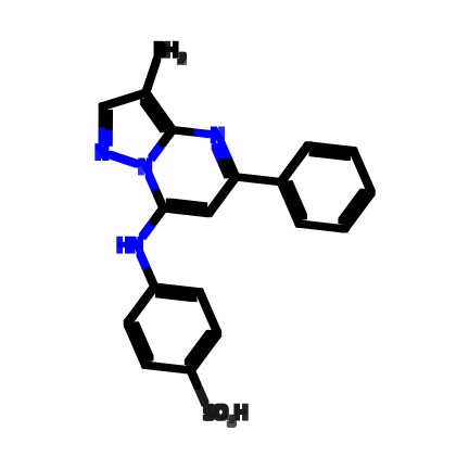 Bc1cnn2c(Nc3ccc(S(=O)(=O)O)cc3)cc(-c3ccccc3)nc12